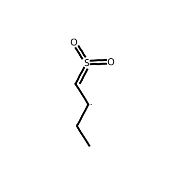 CC[CH]C=S(=O)=O